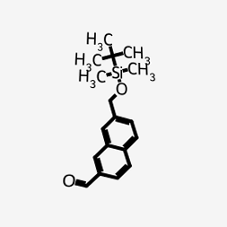 CC(C)(C)[Si](C)(C)OCc1ccc2ccc(C=O)cc2c1